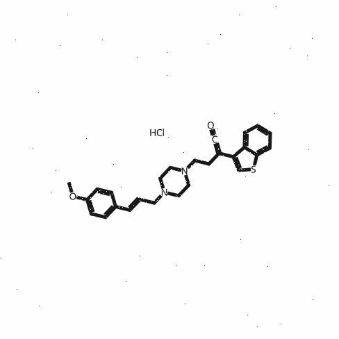 COc1ccc(C=CCN2CCN(CCC(=C=O)c3csc4ccccc34)CC2)cc1.Cl